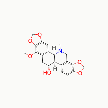 COc1c2c(cc3c1OCO3)[C@@H]1[C@@H](c3ccc4c(c3CN1C)OCO4)[C@@H](O)C2